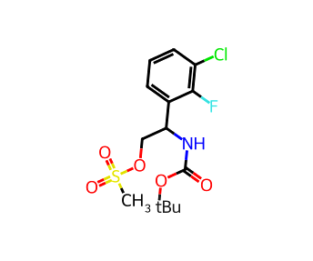 CC(C)(C)OC(=O)NC(COS(C)(=O)=O)c1cccc(Cl)c1F